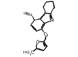 CCCCC1C=CC(Oc2ccc(C(=O)O)o2)=C2N=C3CCCCC3=C21